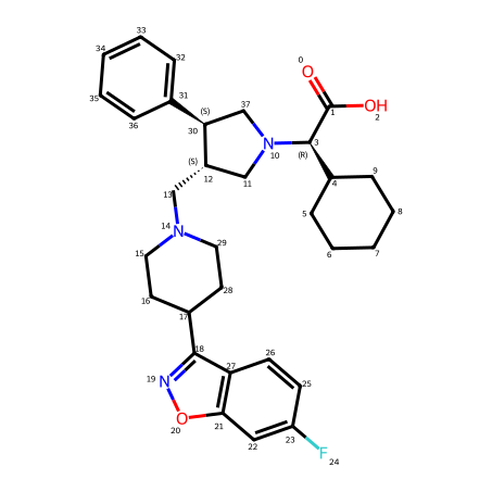 O=C(O)[C@@H](C1CCCCC1)N1C[C@H](CN2CCC(c3noc4cc(F)ccc34)CC2)[C@@H](c2ccccc2)C1